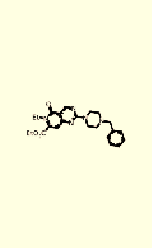 CCOC(=O)c1cc2nc(N3CCN(Cc4ccccc4)CC3)ncc2c(=O)n1CC